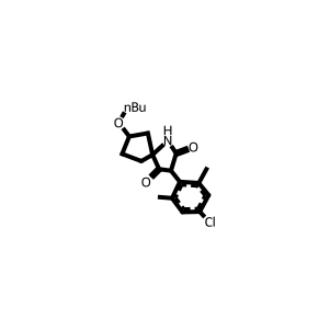 CCCCOC1CCC2(C1)NC(=O)C(c1c(C)cc(Cl)cc1C)C2=O